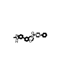 Cc1nc2ccc(-c3ccc4c(c3)CN(C(=O)N3CCN(c5ccccc5)CC3)CCO4)cc2[nH]1